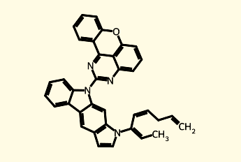 C=CC/C=C\C(=C/C)n1ccc2cc3c4ccccc4n(-c4nc5c6c(cccc6n4)Oc4ccccc4-5)c3cc21